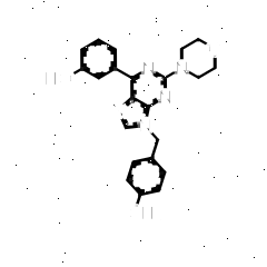 Cc1ccc(Cn2cnc3c(-c4cccc(O)c4)nc(N4CCOCC4)nc32)cc1